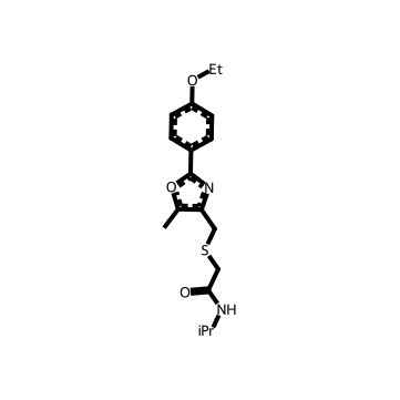 CCOc1ccc(-c2nc(CSCC(=O)NC(C)C)c(C)o2)cc1